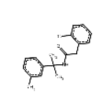 Cc1cccc(C(C)(C)NC(=O)Cc2ccccc2Cl)c1